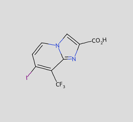 O=C(O)c1cn2ccc(I)c(C(F)(F)F)c2n1